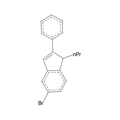 CCCC1C(c2ccccc2)=Cc2cc(Br)ccc21